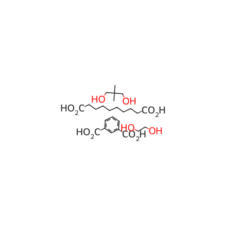 CC(C)(CO)CO.O=C(O)CCCCCCCCC(=O)O.O=C(O)c1cccc(C(=O)O)c1.OCCO